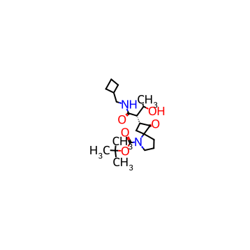 C[C@@H](O)[C@@H](C(=O)NCC1CCC1)C1CC2(CCCN2C(=O)OC(C)(C)C)C1=O